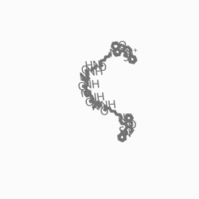 Cn1cc(NC(=O)c2cc(NC(=O)c3cc(NC(=O)CCCCCN4C=CC5=C6c7sc8ccccc8[n+]7CCC6Oc6cccc4c65)cn3C)cn2C)cc1C(=O)NCCNC(=O)CCCCCN1C=CC2=C3c4sc5ccccc5[n+]4CCC3OC3C=CCC1=C23